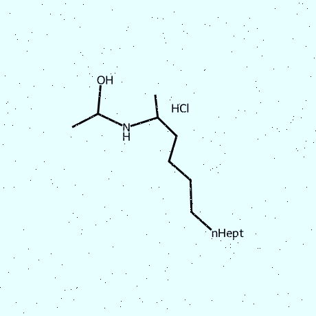 CCCCCCCCCCCC(C)NC(C)O.Cl